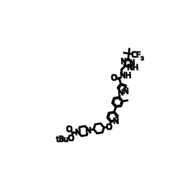 Cc1cc(-c2ccc(OC3CCC(N4CCN(C(=O)OC(C)(C)C)CC4)CC3)nc2)ccc1-n1cc(C(=O)NCc2nc(C(C)(C)C(F)(F)F)n[nH]2)cn1